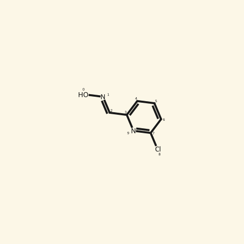 ON=Cc1cccc(Cl)n1